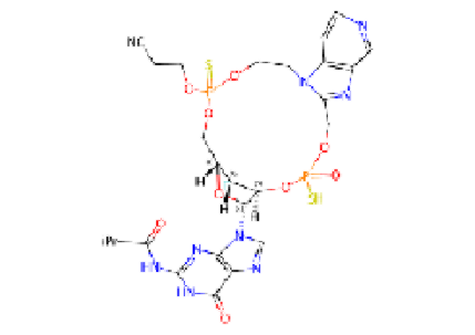 CC(C)C(=O)Nc1nc2c(ncn2[C@@H]2O[C@@H]3COP(=S)(OCCC#N)OCCn4c(nc5cnccc54)COP(=O)(S)O[C@@H]2[C@@H]3F)c(=O)[nH]1